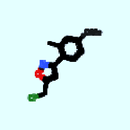 COc1ccc(-c2cc(CCl)on2)c(C)c1